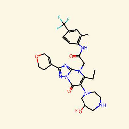 CCc1c(N2CCNCC(O)C2)c(=O)n2nc(C3=CCOCC3)nc2n1CC(=O)Nc1ccc(C(F)(F)F)cc1C